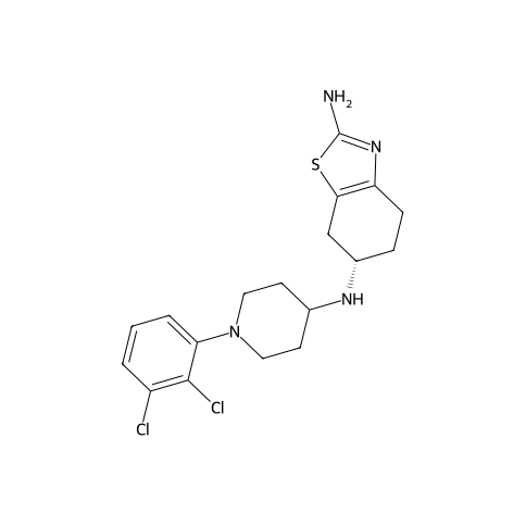 Nc1nc2c(s1)C[C@@H](NC1CCN(c3cccc(Cl)c3Cl)CC1)CC2